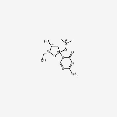 C[SiH](C)O[C@]1(n2cnc(N)nc2=O)C[C@H](O)[C@@H](CO)O1